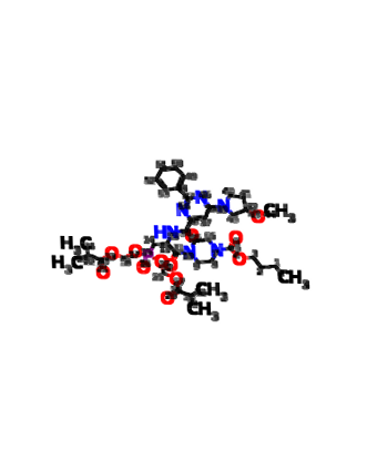 CCCCOC(=O)N1CCN(C(=O)C(CP(=O)(OCOC(=O)C(C)C)OCOC(=O)C(C)C)NC(=O)c2cc(N3CCC(OC)C3)nc(-c3ccccc3)n2)CC1